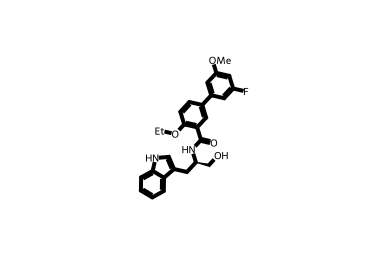 CCOc1ccc(-c2cc(F)cc(OC)c2)cc1C(=O)N[C@@H](CO)Cc1c[nH]c2ccccc12